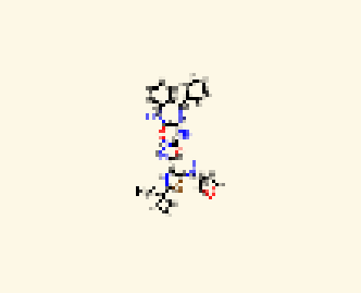 CC1(c2nc(-c3nnc(N[C@H]4N=C(c5ccccc5)c5ccccc5NC4=O)o3)c(N[C@@H]3CCOC3)s2)CCC1